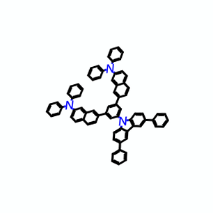 c1ccc(-c2ccc3c(c2)c2cc(-c4ccccc4)ccc2n3-c2cc(-c3ccc4ccc(N(c5ccccc5)c5ccccc5)cc4c3)cc(-c3ccc4ccc(N(c5ccccc5)c5ccccc5)cc4c3)c2)cc1